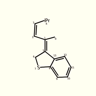 CC(/C=C\C(C)C)=C1/CSc2ccccc21